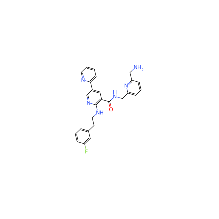 NCc1cccc(CNC(=O)c2cc(-c3ccccn3)cnc2NCCc2cccc(F)c2)n1